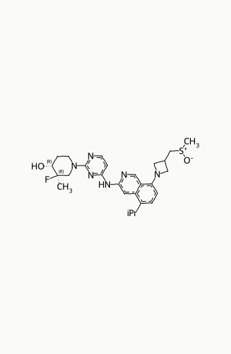 CC(C)c1ccc(N2CC(C[S+](C)[O-])C2)c2cnc(Nc3ccnc(N4CC[C@@H](O)[C@](C)(F)C4)n3)cc12